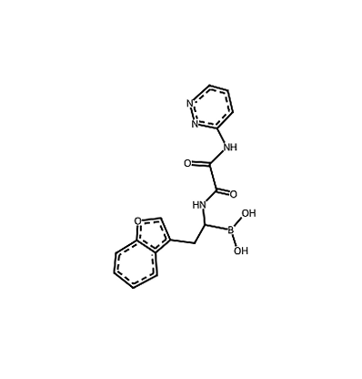 O=C(Nc1cccnn1)C(=O)NC(Cc1coc2ccccc12)B(O)O